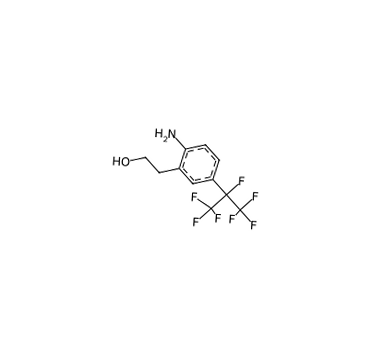 Nc1ccc(C(F)(C(F)(F)F)C(F)(F)F)cc1CCO